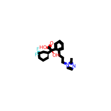 Cc1nccn1CCCc1ccccc1[C@@](O)(C(=O)O)[C@H]1CCCC(F)(F)C1